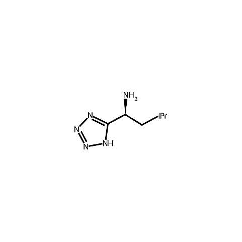 CC(C)C[C@H](N)c1nnn[nH]1